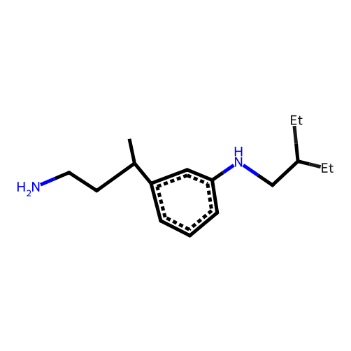 CCC(CC)CNc1cccc(C(C)CCN)c1